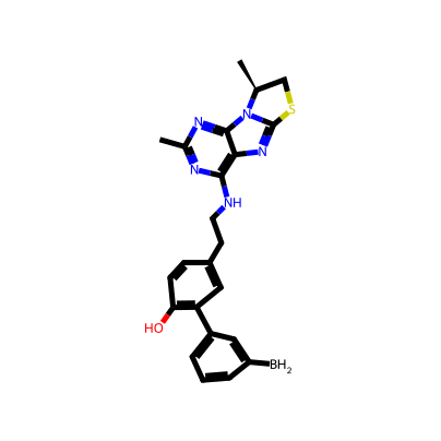 Bc1cccc(-c2cc(CCNc3nc(C)nc4c3nc3n4[C@@H](C)CS3)ccc2O)c1